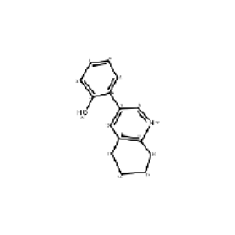 Oc1ccccc1-c1cnc2c(c1)CCCC2